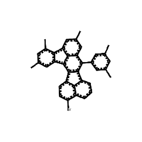 Cc1cc(C)cc(-c2c3cc(C)cc4c5c(C)cc(C)cc5c(c34)c3c4ccc(Br)c5cccc(c23)c54)c1